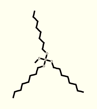 CCCCCCCCO[Si](OC)(OCCCCCCCC)OCCCCCCCC